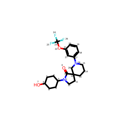 O=C1N(C2CCC(O)CC2)CCC12CCCN(c1cccc(OC(F)(F)F)c1)C2